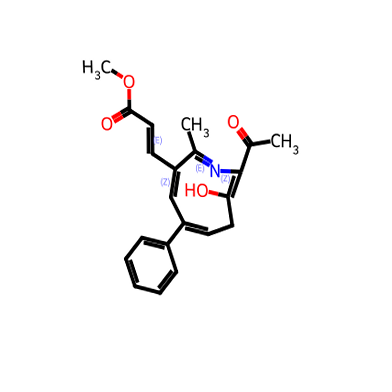 COC(=O)/C=C/C1=C/C(c2ccccc2)=CC\C(O)=C(C(C)=O)\N=C\1C